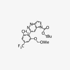 COCOc1cc(C(F)(F)F)cc(C)c1-c1cc2c(ccn2C(=O)OC(C)(C)C)nn1